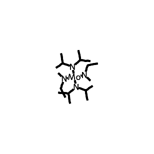 CC[N](C)[Mo]([N](C)CC)([N](C(C)C)C(C)C)[N](C(C)C)C(C)C